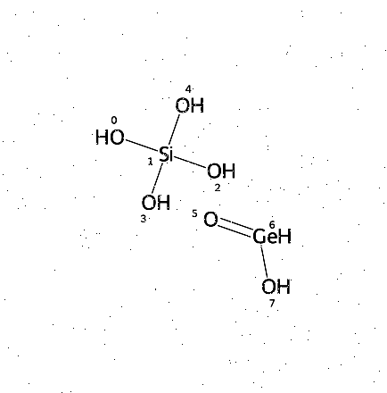 O[Si](O)(O)O.[O]=[GeH][OH]